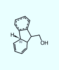 OCC1c2ccccc2[C@H]2C=CC=CC12